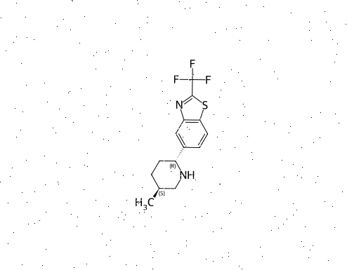 C[C@H]1CC[C@H](c2ccc3sc(C(F)(F)F)nc3c2)NC1